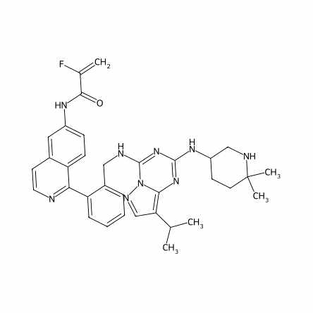 C=C(F)C(=O)Nc1ccc2c(-c3ccccc3CNc3nc(NC4CCC(C)(C)NC4)nc4c(C(C)C)cnn34)nccc2c1